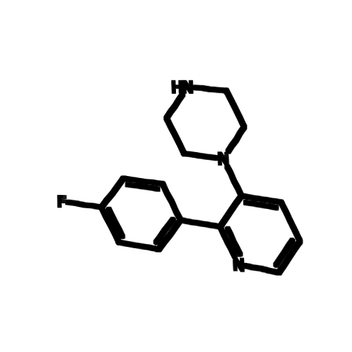 Fc1ccc(-c2ncccc2N2CCNCC2)cc1